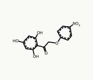 O=C(COc1ccc([N+](=O)[O-])cc1)c1c(O)cc(O)cc1O